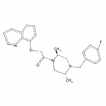 C[C@@H]1CN(C(=O)COc2cccc3cccnc23)[C@@H](C)CN1Cc1ccc(F)cc1